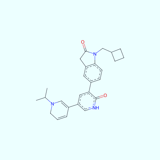 CC(C)N1C=C(c2c[nH]c(=O)c(-c3ccc4c(c3)CC(=O)N4CC3CCC3)c2)C=CC1